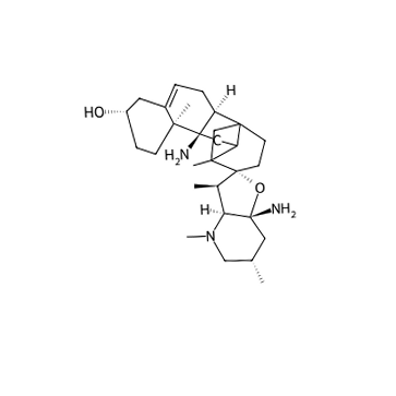 C[C@@H]1CN(C)[C@H]2[C@@H](C)[C@@]3(CCC45CC3(C)C4C[C@@]3(N)[C@H]5CC=C4C[C@@H](O)CC[C@@]43C)O[C@]2(N)C1